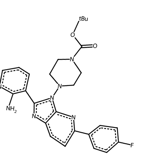 CC(C)(C)OC(=O)N1CCN(n2c(-c3cccnc3N)nc3ccc(-c4ccc(F)cc4)nc32)CC1